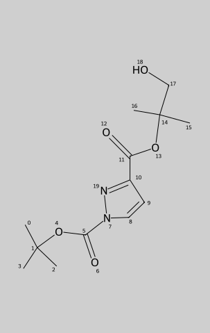 CC(C)(C)OC(=O)n1ccc(C(=O)OC(C)(C)CO)n1